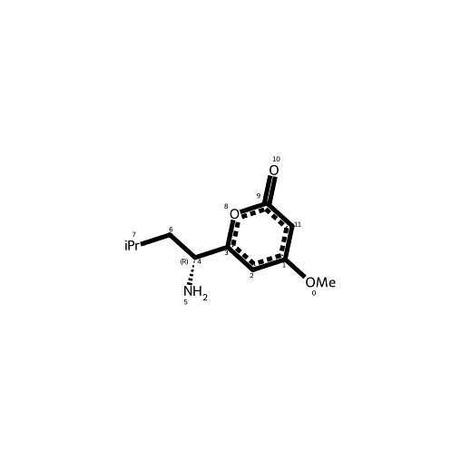 COc1cc([C@H](N)CC(C)C)oc(=O)c1